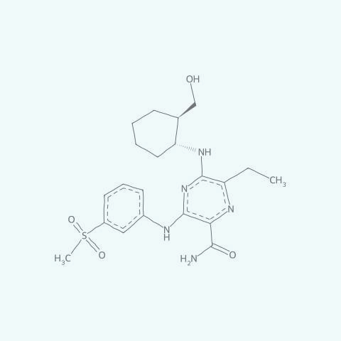 CCc1nc(C(N)=O)c(Nc2cccc(S(C)(=O)=O)c2)nc1N[C@@H]1CCCC[C@H]1CO